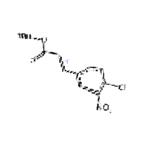 CC(C)(C)OC(=O)/C=C/c1ccc(Cl)c([N+](=O)[O-])c1